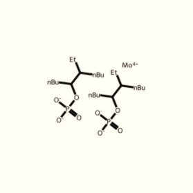 CCCCC(CC)C(CCCC)OP(=O)([O-])[O-].CCCCC(CC)C(CCCC)OP(=O)([O-])[O-].[Mo+4]